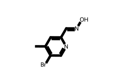 Cc1cc(C=NO)ncc1Br